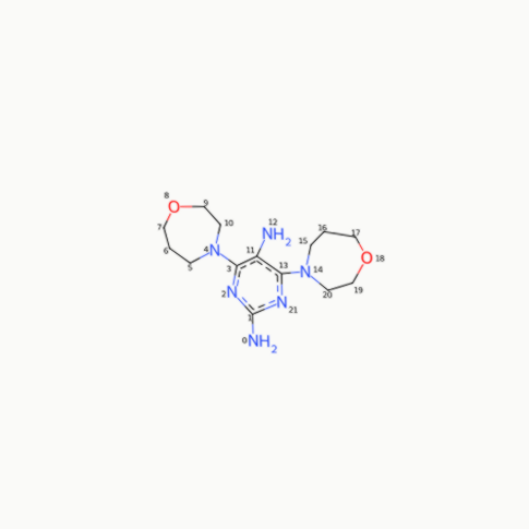 Nc1nc(N2CCCOCC2)c(N)c(N2CCCOCC2)n1